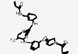 C=CC(=O)Nc1cccc(Nc2ncc(C(F)(F)F)c(Nc3cccc(OC4CN(C(=O)C=C)C4)c3)n2)c1